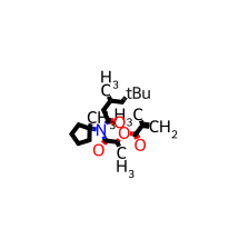 C=C(C)C(=O)OC(C)C(=O)N(C(=O)CC(C)CC(C)(C)C)C1(C)CCCC1